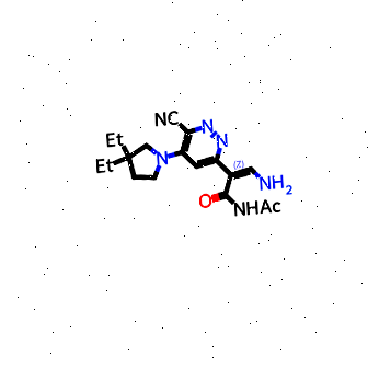 CCC1(CC)CCN(c2cc(/C(=C/N)C(=O)NC(C)=O)nnc2C#N)C1